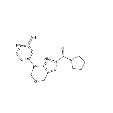 N=c1cc(N2COCc3cc(C(=O)N4CCCC4)[nH]c32)cc[nH]1